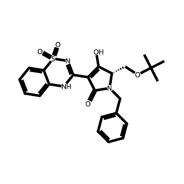 CC(C)(C)OC[C@H]1C(O)=C(C2=NS(=O)(=O)c3ccccc3N2)C(=O)N1Cc1ccccc1